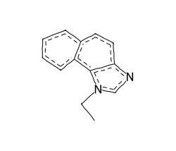 CCn1cnc2ccc3ccccc3c21